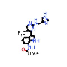 COC(=O)Nc1cccc2c(-c3nc(NCc4c[nH]cn4)ncc3C(F)(F)F)c[nH]c12